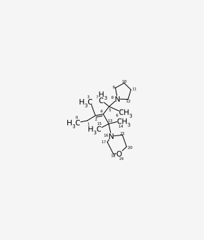 CCC(C)=C(C(C)(C)N1CCCC1)C(C)(C)N1CCOCC1